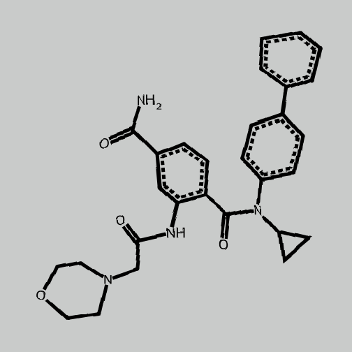 NC(=O)c1ccc(C(=O)N(c2ccc(-c3ccccc3)cc2)C2CC2)c(NC(=O)CN2CCOCC2)c1